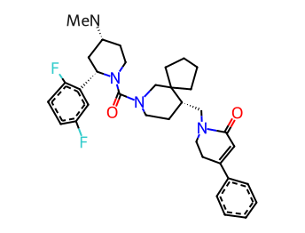 CN[C@@H]1CCN(C(=O)N2CC[C@@H](CN3CCC(c4ccccc4)=CC3=O)C3(CCCC3)C2)[C@H](c2cc(F)ccc2F)C1